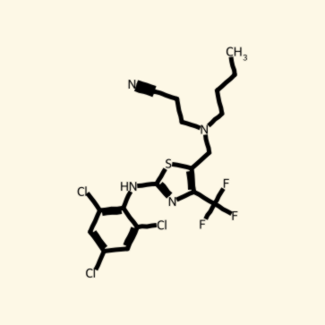 CCCCN(CCC#N)Cc1sc(Nc2c(Cl)cc(Cl)cc2Cl)nc1C(F)(F)F